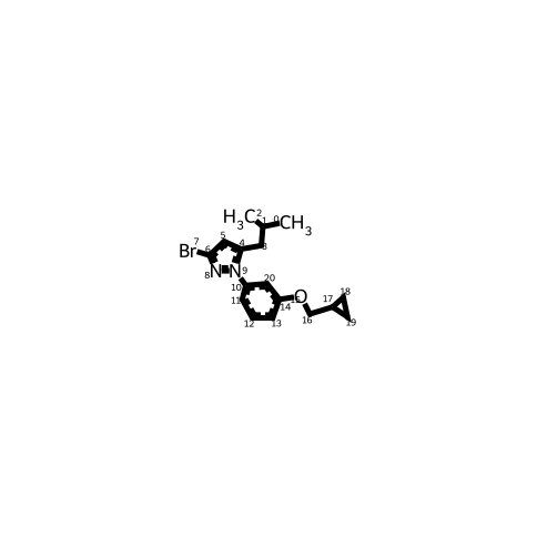 CC(C)Cc1cc(Br)nn1-c1cccc(OCC2CC2)c1